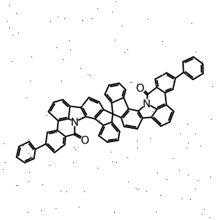 O=c1c2ccc(-c3ccccc3)cc2c2cccc3c4ccc5c(c4n1c23)-c1ccccc1C51c2ccccc2-c2c1ccc1c3cccc4c5cc(-c6ccccc6)ccc5c(=O)n(c21)c43